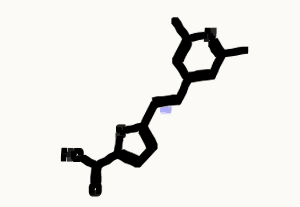 Cc1cc(/C=C/c2ccc(C(=O)O)s2)cc(C)n1